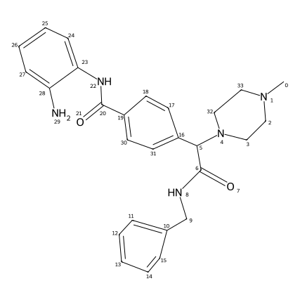 CN1CCN(C(C(=O)NCc2ccccc2)c2ccc(C(=O)Nc3ccccc3N)cc2)CC1